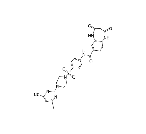 Cc1cc(C#N)nc(N2CCN(S(=O)(=O)c3ccc(NC(=O)c4ccc5c(c4)NC(=O)CC(=O)N5)cc3)CC2)n1